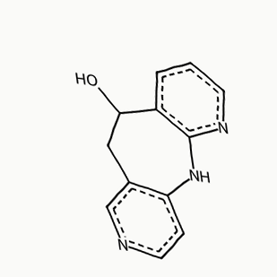 OC1Cc2cnccc2Nc2ncccc21